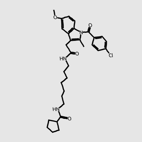 COc1ccc2c(c1)c(CC(=O)NCCCCCCCNC(=O)C1CCCC1)c(C)n2C(=O)c1ccc(Cl)cc1